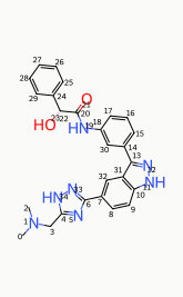 CN(C)Cc1nc(-c2ccc3[nH]nc(-c4cccc(NC(=O)[C@H](O)c5ccccc5)c4)c3c2)n[nH]1